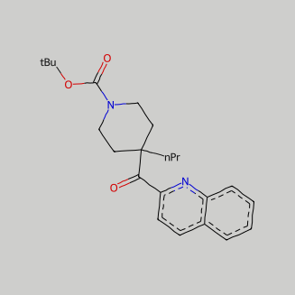 CCCC1(C(=O)c2ccc3ccccc3n2)CCN(C(=O)OC(C)(C)C)CC1